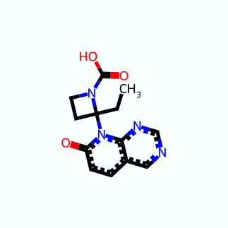 CCC1(n2c(=O)ccc3cncnc32)CCN1C(=O)O